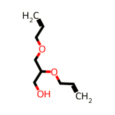 C=CCOCC(CO)OCC=C